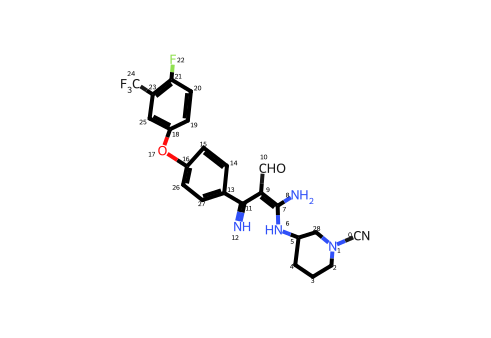 N#CN1CCCC(N/C(N)=C(/C=O)C(=N)c2ccc(Oc3ccc(F)c(C(F)(F)F)c3)cc2)C1